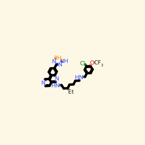 CCC(CCCCNCc1ccc(OC(F)(F)F)c(Cl)c1)CCNc1nc2cc(/C(N=N)=N/P)ccc2c2cnccc12